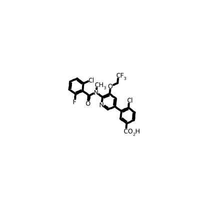 CN(C(=O)c1c(F)cccc1Cl)c1ncc(-c2cc(C(=O)O)ccc2Cl)cc1OCC(F)(F)F